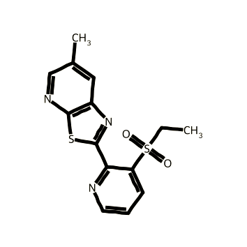 CCS(=O)(=O)c1cccnc1-c1nc2cc(C)cnc2s1